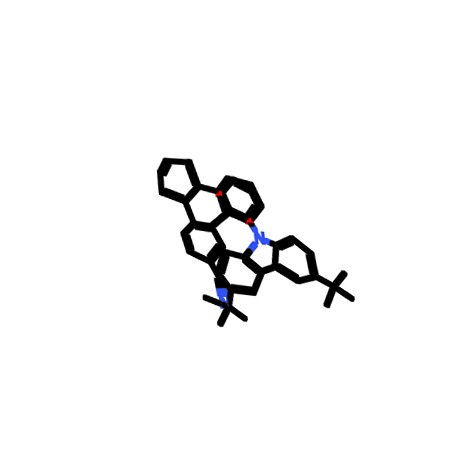 CC(C)(C)c1ccc2c(c1)c1cc(C(C)(C)C)ccc1n2-c1ccccc1-c1cc(C#N)ccc1-c1ccccc1-c1ccccc1